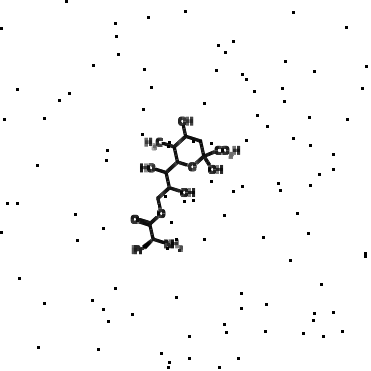 CC1C(O)CC(O)(C(=O)O)OC1C(O)C(O)COC(=O)[C@@H](N)C(C)C